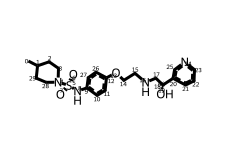 CC1CCN(S(=O)(=O)Nc2ccc(OCCNC[C@H](O)c3cccnc3)cc2)CC1